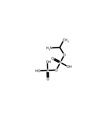 CC(N)OP(=O)(O)OP(=O)(O)O